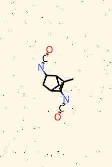 CC1=C(N=C=O)C2CC(N=C=O)C1C2